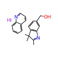 CC1=Nc2cc(CO)ccc2C1(C)C.I.c1ccc2ncccc2c1